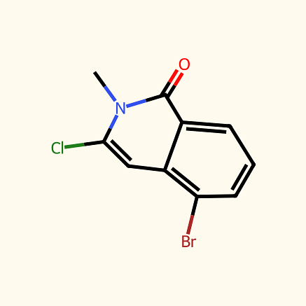 Cn1c(Cl)cc2c(Br)cccc2c1=O